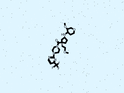 COCC[C@]1(C(=O)N2CCN(c3nccc(C(F)(F)F)n3)CC2)CC[C@@H](NC2CCOCC2OC)C1